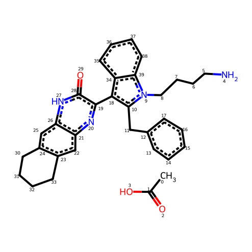 CC(=O)O.NCCCCn1c(Cc2ccccc2)c(-c2nc3cc4c(cc3[nH]c2=O)CCCC4)c2ccccc21